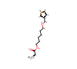 C=CC(=O)OCCCCCCOCc1ccsc1